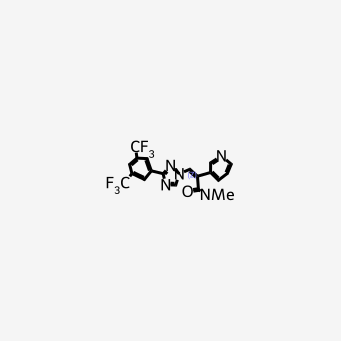 CNC(=O)/C(=C\n1cnc(-c2cc(C(F)(F)F)cc(C(F)(F)F)c2)n1)c1cccnc1